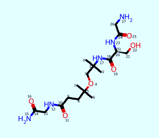 CC(C)(COC(C)(C)CCC(=O)NCC(N)=O)NC(=O)[C@H](CO)NC(=O)CN